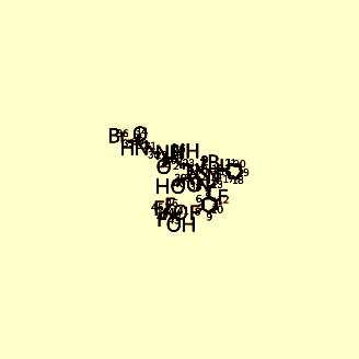 CC(C)(C)[C@H](c1nc(-c2cc(F)ccc2F)cn1Cc1ccccc1)N(CC[C@H](N)C(=O)NCCNC(=O)CBr)C(=O)CO.O=C(O)C(F)(F)F